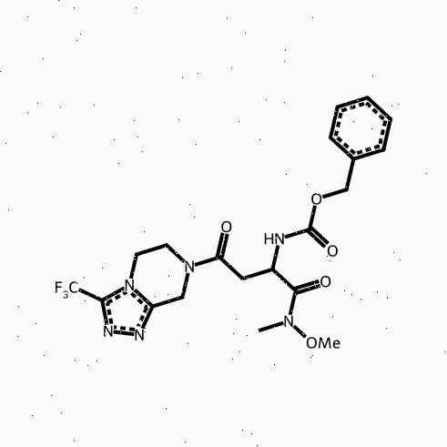 CON(C)C(=O)C(CC(=O)N1CCn2c(nnc2C(F)(F)F)C1)NC(=O)OCc1ccccc1